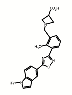 Cc1c(CN2CC(C(=O)O)C2)cccc1-c1noc(-c2ccc3c(ccn3C(C)C)c2)n1